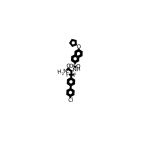 NC(=O)[C@H](NS(=O)(=O)c1ccc2cc(OC3CCCC3)ccc2c1)C(F)(F)c1ccc(-c2ccc(Cl)cc2)cc1